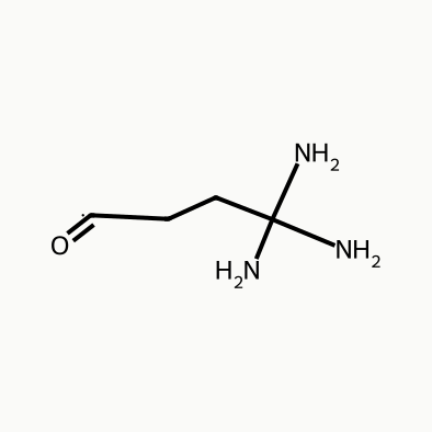 NC(N)(N)CC[C]=O